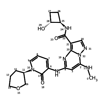 CNc1cc(Nc2cccn([C@@H]3CCCOC3)c2=O)nc2c(C(=O)N[C@@H]3CC[C@H]3O)cnn12